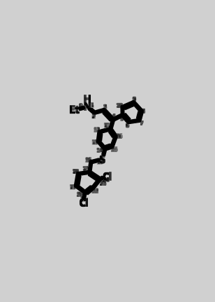 CCNCC=C(c1ccccc1)c1ccc(SCc2ccc(Cl)cc2Cl)cc1